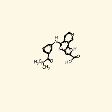 CN(C)C(=O)c1cccc(Nc2nc3cc(C(=O)O)[nH]c3c3cnccc23)c1